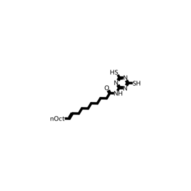 CCCCCCCCC=CCCCCCCCC(=O)Nc1nc(S)nc(S)n1